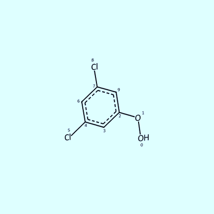 OOc1cc(Cl)cc(Cl)c1